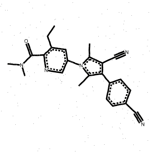 CCc1cc(-n2c(C)c(C#N)c(-c3ccc(C#N)cc3)c2C)cnc1C(=O)N(C)C